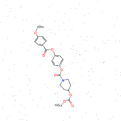 CCCCCCCCCCOc1ccc(C(=O)Oc2ccc(OC(=O)N3CCC(OC(=O)OCCCCCCCC)CC3)cc2)cc1